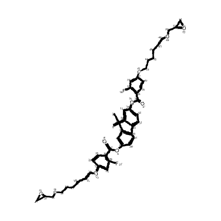 CC1(C)c2cc(OC(=O)c3ccc(OCCCCCCOCC4CO4)cc3F)ccc2-c2ccc(OC(=O)c3ccc(OCCCCCCOCC4CO4)cc3F)cc21